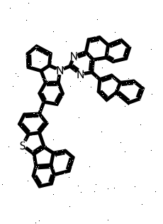 C1=CC2c3cc(-c4ccc5sc6c(c5c4)-c4cccc5cccc-6c45)ccc3N(c3nc(-c4ccc5ccccc5c4)c4c(ccc5ccccc54)n3)C2C=C1